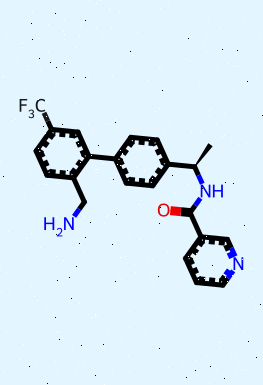 C[C@@H](NC(=O)c1cccnc1)c1ccc(-c2cc(C(F)(F)F)ccc2CN)cc1